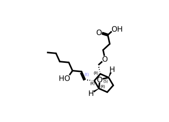 CCCCC(O)/C=C/[C@@H]1[C@H](COCCC(=O)O)[C@@H]2CC[C@H]1O2